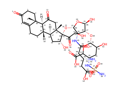 C[C@]12CCC(=O)C=C1CC[C@@H]1[C@@H]2C(=O)C[C@@]2(C)[C@H]1C[C@@H](O)[C@]2(O[C@@H]1O[C@@H](O)[C@H](O[C@H]2OC(C(=O)O)[C@@H](NS(N)(=O)=O)CC2O)[C@@H]1NC(=O)C[C@H](N)CC(=O)O)C(=O)CO